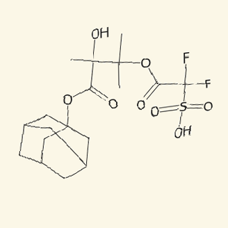 CC(C)(OC(=O)C(F)(F)S(=O)(=O)O)C(C)(O)C(=O)OC12CC3CC(CC(C3)C1)C2